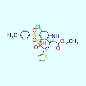 CCOC(=O)c1[nH]c2cc(Cl)c(S(=O)(=O)c3ccc(C)cc3)c(Cl)c2c1/C=C(\C(=O)O)c1cccs1